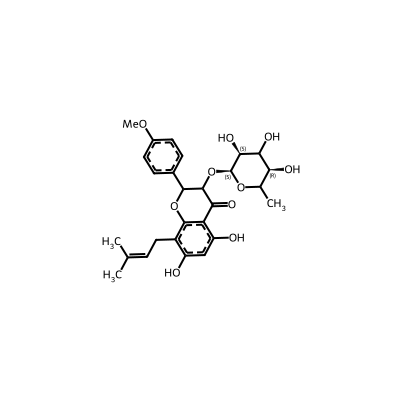 COc1ccc(C2Oc3c(CC=C(C)C)c(O)cc(O)c3C(=O)C2O[C@@H]2OC(C)[C@H](O)C(O)[C@@H]2O)cc1